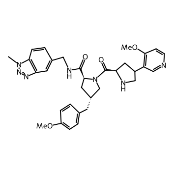 COc1ccc(C[C@@H]2C[C@@H](C(=O)NCc3ccc4c(c3)nnn4C)N(C(=O)[C@H]3CC(c4cnccc4OC)CN3)C2)cc1